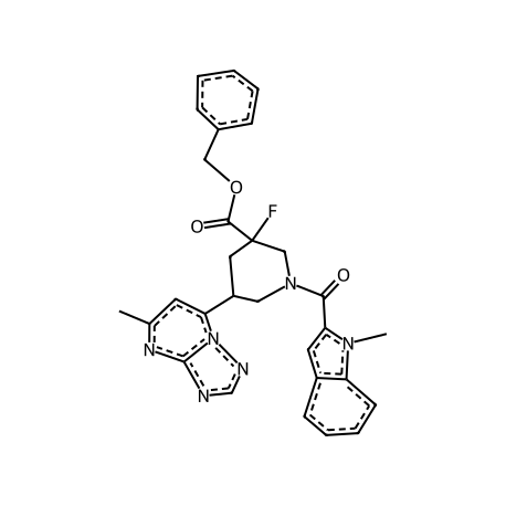 Cc1cc(C2CN(C(=O)c3cc4ccccc4n3C)CC(F)(C(=O)OCc3ccccc3)C2)n2ncnc2n1